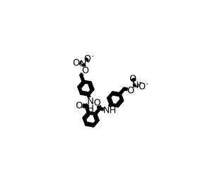 O=C(Nc1ccc(CO[N+](=O)[O-])cc1)c1ccccc1C(=O)Nc1ccc(CO[N+](=O)[O-])cc1